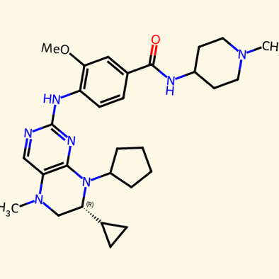 COc1cc(C(=O)NC2CCN(C)CC2)ccc1Nc1ncc2c(n1)N(C1CCCC1)[C@H](C1CC1)CN2C